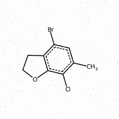 Cc1cc(Br)c2c(c1Cl)OCC2